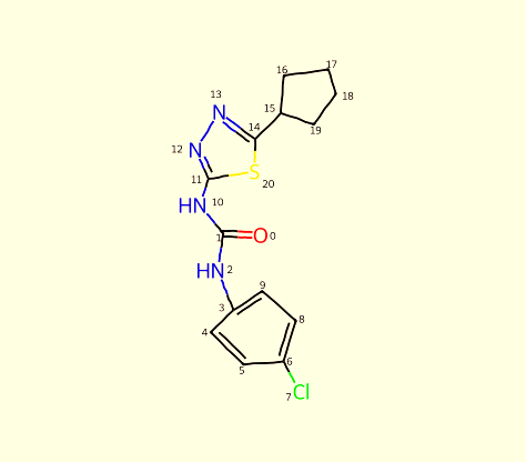 O=C(Nc1ccc(Cl)cc1)Nc1nnc(C2CCCC2)s1